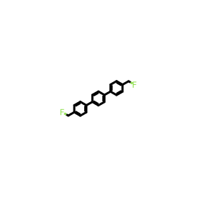 FCc1ccc(-c2ccc(-c3ccc(CF)cc3)cc2)cc1